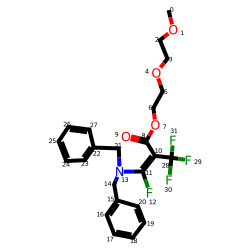 COCCOCCOC(=O)/C(=C(/F)N(Cc1ccccc1)Cc1ccccc1)C(F)(F)F